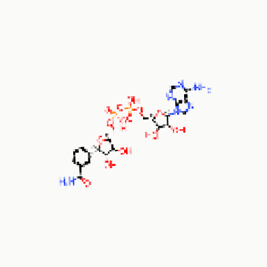 NC(=O)c1cccc([C@@H]2O[C@H](COP(=O)(O)OP(=O)(O)OC[C@H]3O[C@@H](n4cnc5c(N)ncnc54)C(O)C3O)C(O)C2O)c1